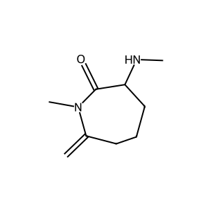 C=C1CCCC(NC)C(=O)N1C